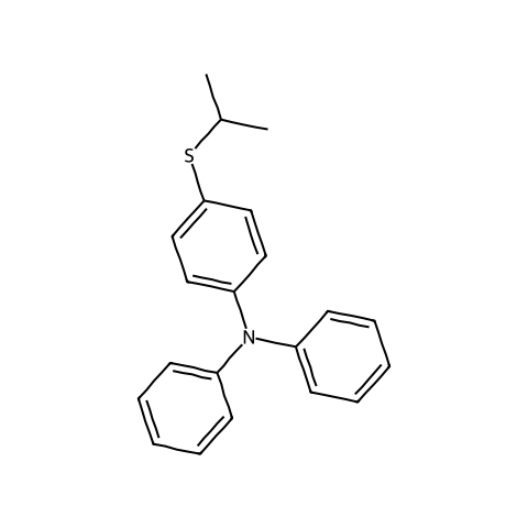 CC(C)Sc1ccc(N(c2ccccc2)c2ccccc2)cc1